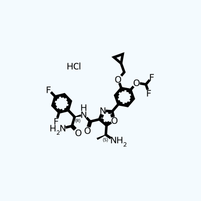 C[C@H](N)c1oc(-c2ccc(OC(F)F)c(OCC3CC3)c2)nc1C(=O)N[C@@H](C(N)=O)c1ccc(F)cc1F.Cl